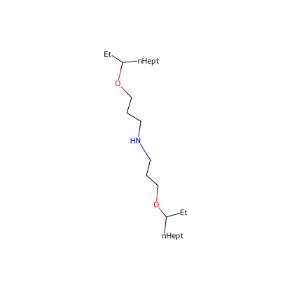 CCCCCCCC(CC)OCCCNCCCOC(CC)CCCCCCC